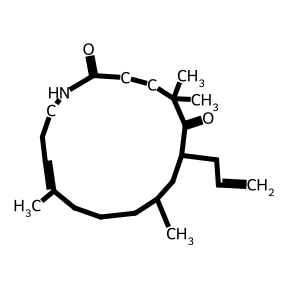 C=CCC1CC(C)CCCC(C)=CCCNC(=O)CCC(C)(C)C1=O